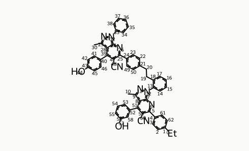 CCc1ccc(-c2nc3c(c(C)nn3-c3ccccc3CCc3ccc(-c4nc5c(c(C)nn5-c5ccccc5)c(-c5ccc(O)cc5)c4C#N)cc3)c(-c3cccc(O)c3)c2C#N)cc1